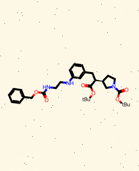 CC(C)(C)OC(=O)C(Cc1cccc(NCCNC(=O)OCc2ccccc2)c1)[C@H]1CCN(C(=O)OC(C)(C)C)C1